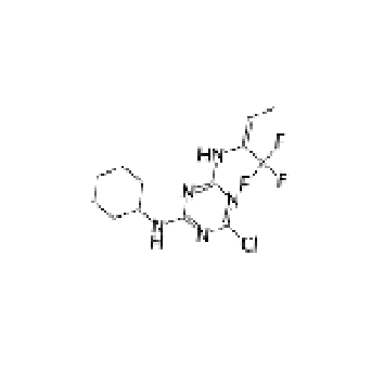 CC=C(Nc1nc(Cl)nc(NC2CCCCC2)n1)C(F)(F)F